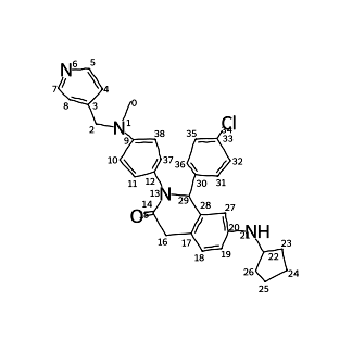 CN(Cc1ccncc1)c1ccc(N2C(=O)Cc3ccc(NC4CCCC4)cc3C2c2ccc(Cl)cc2)cc1